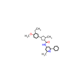 CCc1cc(C2CC(C)C(C(=O)Nc3cc(C)nc(-c4ccccc4)c3)C2)ccc1OC